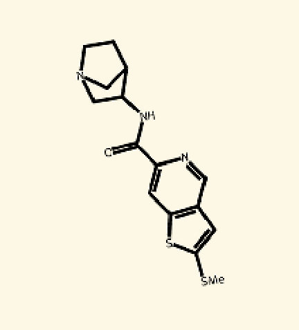 CSc1cc2cnc(C(=O)NC3CN4CCC3C4)cc2s1